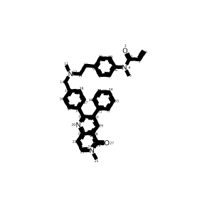 C=CC(=O)N(C)c1ccc(CCN(C)Cc2ccc(-c3nc4ccn(C)c(=O)c4cc3-c3ccccc3)cc2)cc1